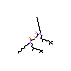 CCCCCCCCN(CCC(C)CCCC(C)(C)C)C(=O)COCC(=O)N(CCCCCCCC)CCC(C)CCCC(C)(C)C